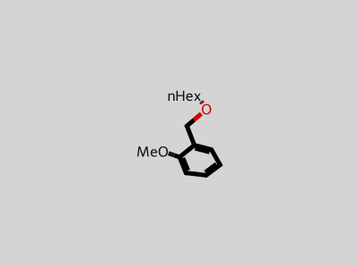 [CH2]CCCCCOCc1ccccc1OC